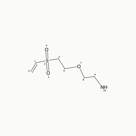 C=CS(=O)(=O)CCOCC[NH]